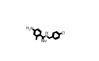 Cc1cc(N)ccc1C(=N)NCc1ccc(Cl)cc1